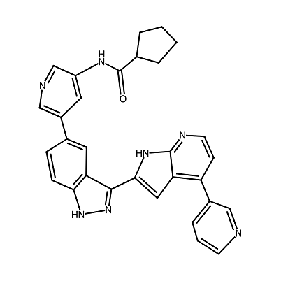 O=C(Nc1cncc(-c2ccc3[nH]nc(-c4cc5c(-c6cccnc6)ccnc5[nH]4)c3c2)c1)C1CCCC1